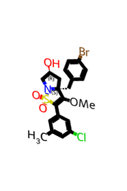 COC1=C(c2cc(C)cc(Cl)c2)S(=O)(=O)N2C[C@H](O)C[C@@]12Cc1ccc(Br)cc1